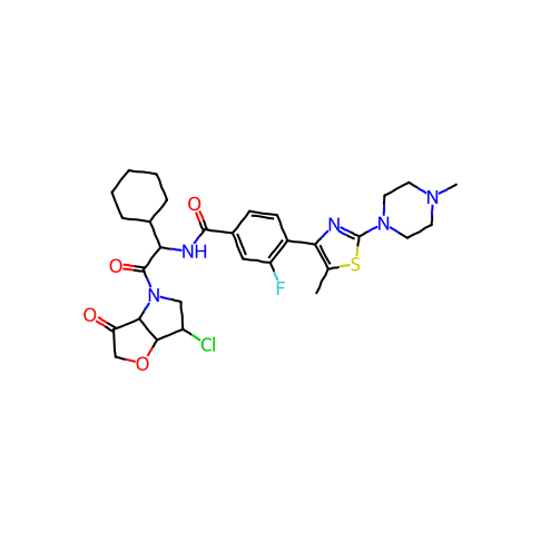 Cc1sc(N2CCN(C)CC2)nc1-c1ccc(C(=O)NC(C(=O)N2CC(Cl)C3OCC(=O)C32)C2CCCCC2)cc1F